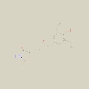 C=Cc1cc(C=C(CCC2SC(=S)NC2=O)OC)cc(C=C)c1O